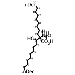 CCCCCCCCCCCCCCCCCCC(O)C(CCCCCCCCCCCCCCCCCC)(NP)C(=O)O